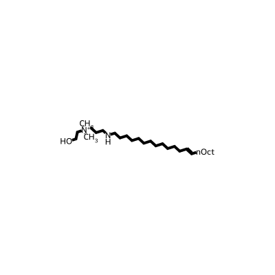 CCCCCCCCC=CCCCCCCCCCCCCNCCC[N+](C)(C)CCO